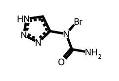 NC(=O)N(Br)c1c[nH]nn1